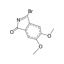 COc1cc2c(cc1OC)C(Br)=NC2=O